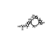 CN/C1=N\C(=N)C(C)(c2cccc(CC(C)C(=O)OCC(O)CO)c2)CCCC(C)(C)CSCCc2c(c(F)cc3[nH]ccc23)Oc2ccc(F)c1c2